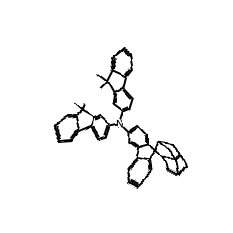 CC1(C)c2ccccc2-c2ccc(N(c3ccc4c(c3)-c3ccccc3C43C4CC5CC(C4)CC3C5)c3ccc4c(c3)C(C)(C)c3ccccc3-4)cc21